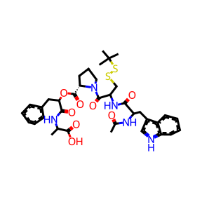 CC(=O)NC(Cc1c[nH]c2ccccc12)C(=O)NC(CSSC(C)(C)C)C(=O)N1CCC[C@H]1C(=O)OC(Cc1ccccc1)C(=O)NC(C)C(=O)O